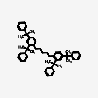 CC(C)(c1ccccc1)c1ccc(CCCCCc2ccc(C(C)(C)c3ccccc3)cc2C(C)(C)c2ccccc2)c(C(C)(C)c2ccccc2)c1